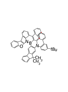 CC(C)(C)c1ccc(N2c3cc4c(cc3B3c5c2cc2ccccc2c5-c2cccc5c6c7ccccc7oc6n3c25)-c2ccccc2C4(C)C)c(-c2ccccc2)c1